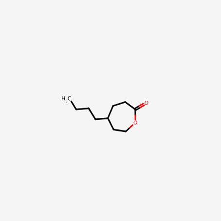 CCCCC1CCOC(=O)CC1